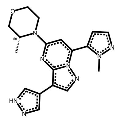 C[C@@H]1COCCN1c1cc(-c2ccnn2C)n2ncc(-c3cn[nH]c3)c2n1